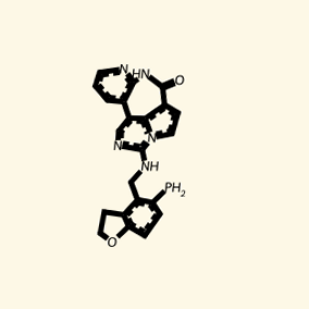 O=C1Nc2ncccc2-c2cnc(NCc3c(P)ccc4c3CCO4)n3ccc1c23